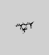 COC(CCOC(C)=O)OC(C)=O